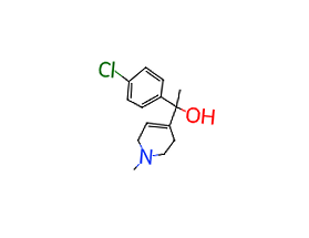 CN1CC=C(C(C)(O)c2ccc(Cl)cc2)CC1